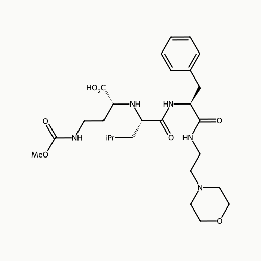 COC(=O)NCC[C@@H](N[C@@H](CC(C)C)C(=O)N[C@@H](Cc1ccccc1)C(=O)NCCN1CCOCC1)C(=O)O